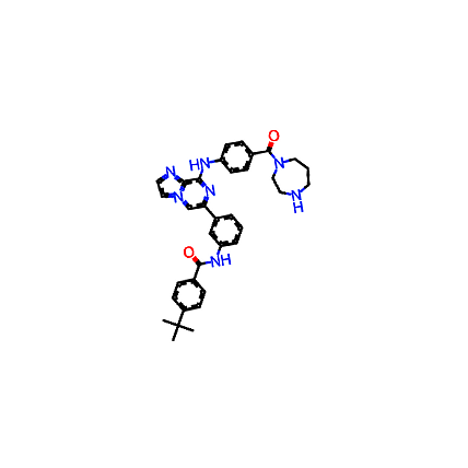 CC(C)(C)c1ccc(C(=O)Nc2cccc(-c3cn4ccnc4c(Nc4ccc(C(=O)N5CCCNCC5)cc4)n3)c2)cc1